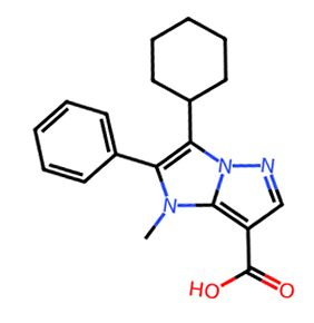 Cn1c(-c2ccccc2)c(C2CCCCC2)n2ncc(C(=O)O)c12